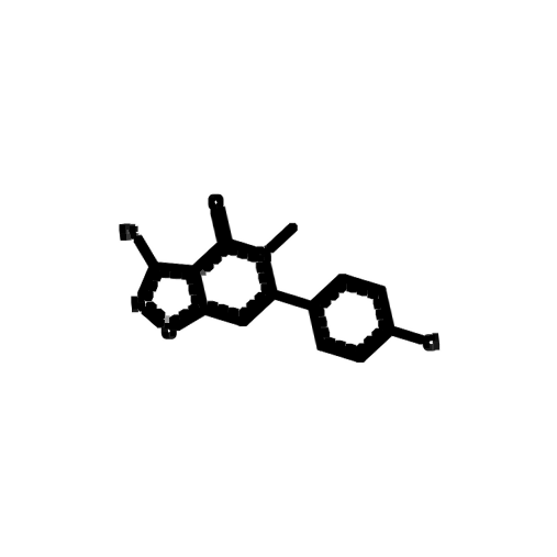 CCc1noc2cc(-c3ccc(Cl)cc3)n(C)c(=O)c12